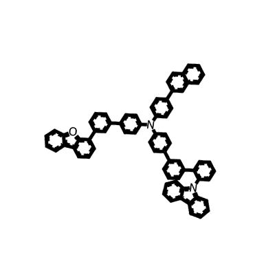 c1cc(-c2ccc(N(c3ccc(-c4cccc(-c5cccc6c5oc5ccccc56)c4)cc3)c3ccc(-c4ccc5ccccc5c4)cc3)cc2)cc(-c2ccccc2-n2c3ccccc3c3ccccc32)c1